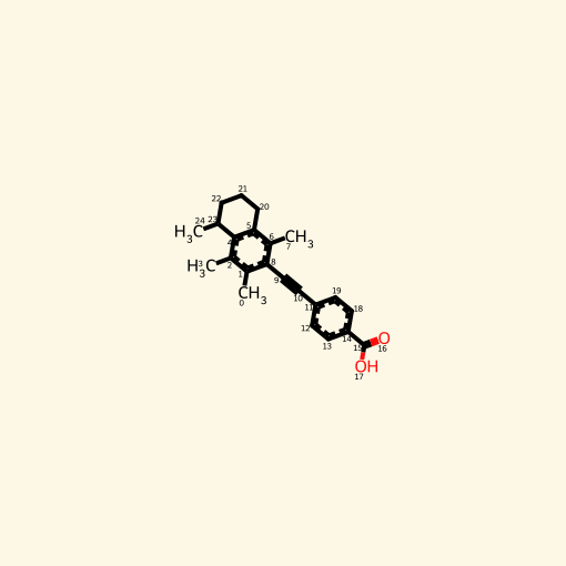 Cc1c(C)c2c(c(C)c1C#Cc1ccc(C(=O)O)cc1)CCCC2C